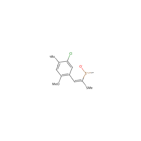 COc1cc(C(C)(C)C)c(Cl)cc1/C=C(/SC)[S+](C)[O-]